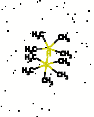 C[SH](C)(C)(C)S(C)(C)(C)(C)C